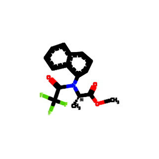 COC(=O)[C@H](C)N(C(=O)C(F)(F)F)c1cccc2ccccc12